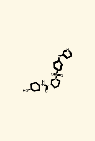 O=C(N[C@H]1CC[C@H](O)CC1)[C@H]1CCCN(S(=O)(=O)c2ccc(Oc3cccnc3)cc2)C1